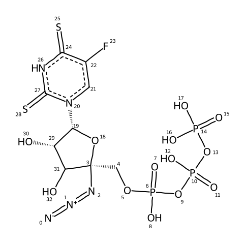 [N-]=[N+]=N[C@]1(COP(=O)(O)OP(=O)(O)OP(=O)(O)O)O[C@@H](n2cc(F)c(=S)[nH]c2=S)[C@@H](O)C1O